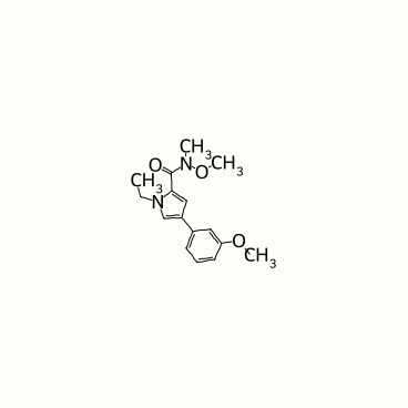 CCn1cc(-c2cccc(OC)c2)cc1C(=O)N(C)OC